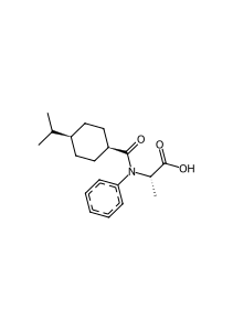 CC(C)[C@H]1CC[C@@H](C(=O)N(c2ccccc2)[C@@H](C)C(=O)O)CC1